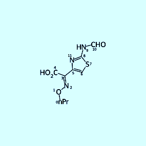 CCCON=C(C(=O)O)c1csc(NC=O)n1